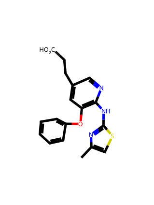 Cc1csc(Nc2ncc(CCC(=O)O)cc2Oc2ccccc2)n1